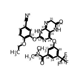 CCOc1ccc(C#N)cc1OC1=NC(Oc2cc(C(=O)N(C)C)cc(C(F)(F)F)c2)=C2NC(=O)CN=C2N1